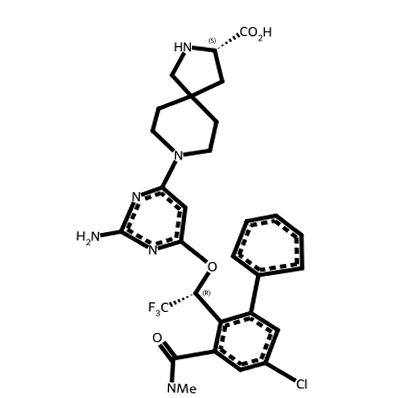 CNC(=O)c1cc(Cl)cc(-c2ccccc2)c1[C@@H](Oc1cc(N2CCC3(CC2)CN[C@H](C(=O)O)C3)nc(N)n1)C(F)(F)F